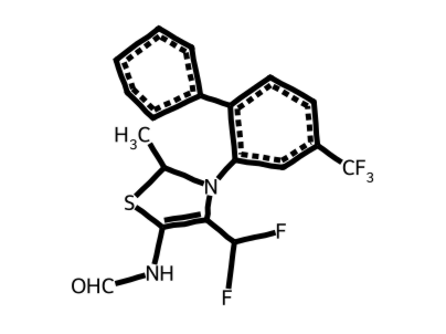 CC1SC(NC=O)=C(C(F)F)N1c1cc(C(F)(F)F)ccc1-c1ccccc1